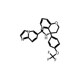 O=C(N[C@]1(c2ccc(OC(F)(F)F)cc2)CCOc2cccnc21)c1ccc2nccn2c1